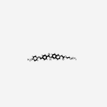 COCCOC(=O)CN1CCc2cc(NC(=O)c3ccc(C=NN4CCN(C)CC4)cc3)ccc2C1